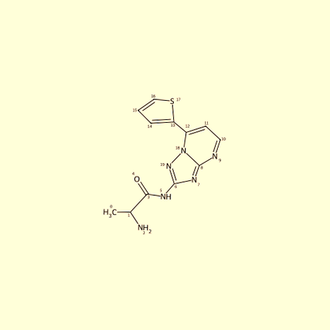 CC(N)C(=O)Nc1nc2nccc(-c3cccs3)n2n1